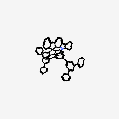 c1ccc(-c2cc(-c3ccccc3)cc(-c3cc(-c4cc(-c5ccccc5)cc(-c5ccccc5)c4)cc(-n4c5ccccc5c5ccc6c(c54)C4(c5ccccc5-c5ccccc54)c4ccccc4-6)c3)c2)cc1